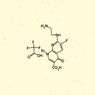 CCn1cc(C(=O)O)c(=O)c2cc(F)c(NCCN)nc21.O=C(O)C(F)(F)F